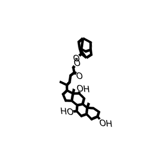 CC(CCC(=O)COOC1C2CC3CC(C2)CC1C3)C1CCC2C3C(O)CC4CC(O)CCC4(C)C3CC(O)C12C